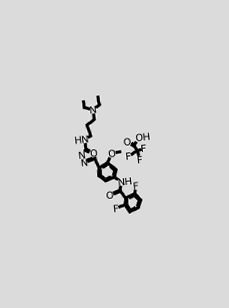 CCN(CC)CCCNc1nnc(-c2ccc(NC(=O)c3c(F)cccc3F)cc2OC)o1.O=C(O)C(F)(F)F